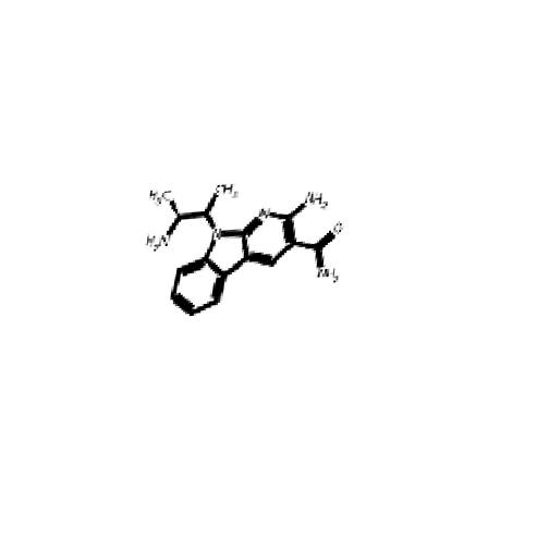 CC([C@H](C)N)n1c2ccccc2c2cc(C(N)=O)c(N)nc21